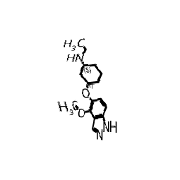 CCN[C@H]1CCC[C@@H](Oc2ccc3[nH]ncc3c2OC)C1